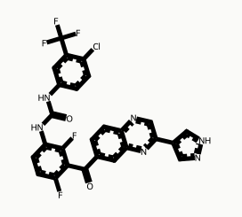 O=C(Nc1ccc(Cl)c(C(F)(F)F)c1)Nc1ccc(F)c(C(=O)c2ccc3ncc(-c4cn[nH]c4)nc3c2)c1F